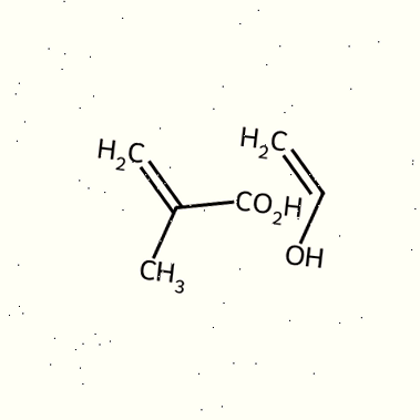 C=C(C)C(=O)O.C=CO